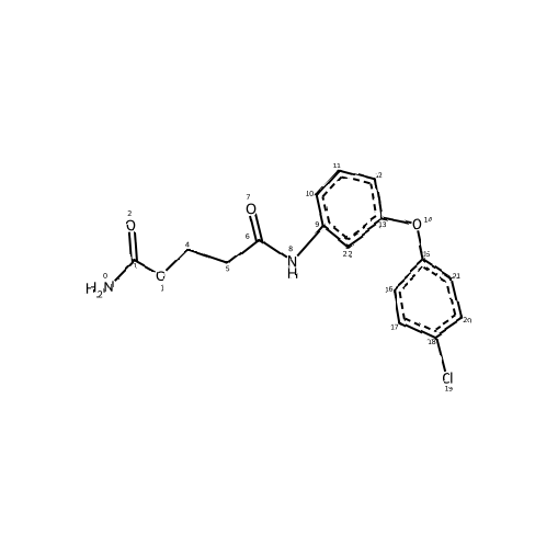 NC(=O)OCCC(=O)Nc1cccc(Oc2ccc(Cl)cc2)c1